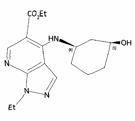 CCOC(=O)c1cnc2c(cnn2CC)c1N[C@@H]1CCC[C@H](O)C1